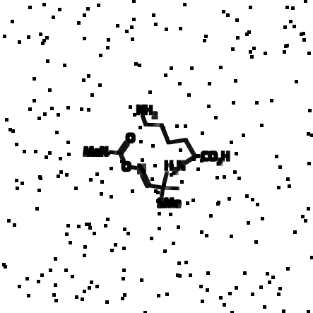 CNC(=O)O/N=C/C(C)(C)SC.NCCCCC(N)C(=O)O